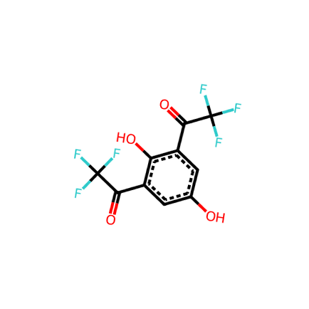 O=C(c1cc(O)cc(C(=O)C(F)(F)F)c1O)C(F)(F)F